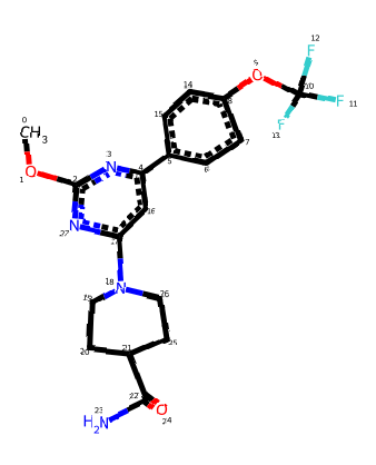 COc1nc(-c2ccc(OC(F)(F)F)cc2)cc(N2CCC(C(N)=O)CC2)n1